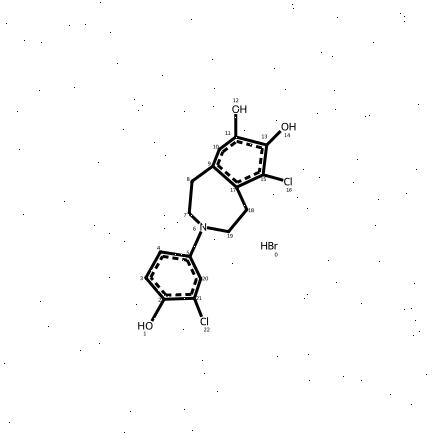 Br.Oc1ccc(N2CCc3cc(O)c(O)c(Cl)c3CC2)cc1Cl